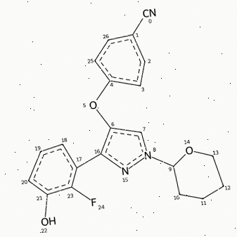 N#Cc1ccc(Oc2cn(C3CCCCO3)nc2-c2cccc(O)c2F)cc1